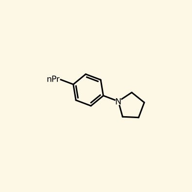 CCCc1ccc(N2CCCC2)cc1